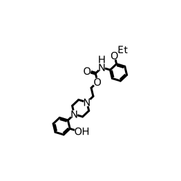 CCOc1ccccc1NC(=O)OCCN1CCN(c2ccccc2O)CC1